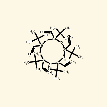 C=C[Si]1(C(C)(C)C)O[Si](C=C)(C(C)(C)C)O[Si](C=C)(C(C)(C)C)O[Si](C=C)(C(C)(C)C)O[Si](C=C)(C(C)(C)C)O1